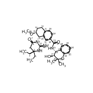 CCC1(CC)CC(=O)N([C@H]2c3cc(C(=O)N[C@@H]4c5ccccc5OC(C)(C)[C@H]4O)ccc3CC[C@@H]2OC)C(=N)N1